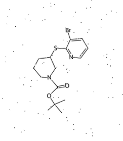 CC(C)(C)OC(=O)N1CCCC(Sc2ncccc2Br)C1